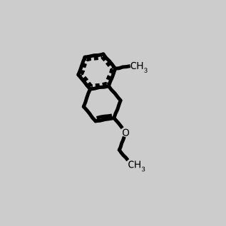 CCOC1=CCc2cccc(C)c2C1